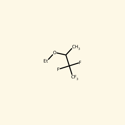 [CH2]COC(C)C(F)(F)C(F)(F)F